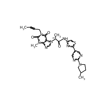 CC#CCn1c(=O)c2c(ncn2[C@@H](C)C(=O)Nc2csc(-c3cnc(N4CCC(C)C4)nc3)n2)n(C)c1=O